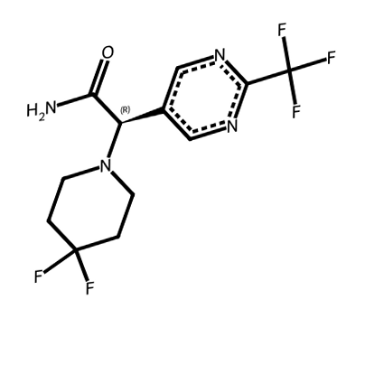 NC(=O)[C@@H](c1cnc(C(F)(F)F)nc1)N1CCC(F)(F)CC1